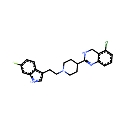 Fc1ccc2c(CCN3CCC(C4=Nc5cccc(Cl)c5CN4)CC3)c[nH]c2c1